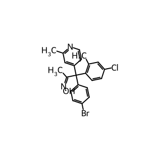 C/C(=N/O)C(c1ccc(Br)cc1)(c1ccnc(C)c1)c1ccc(Cl)cc1C